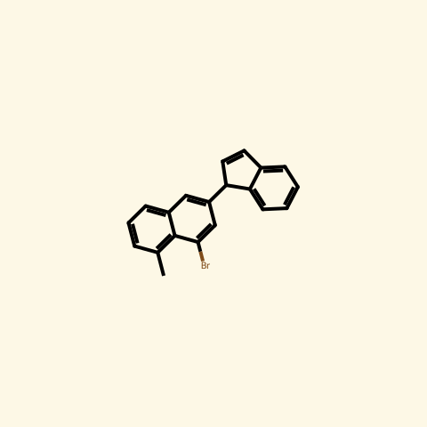 Cc1cccc2cc(C3C=Cc4ccccc43)cc(Br)c12